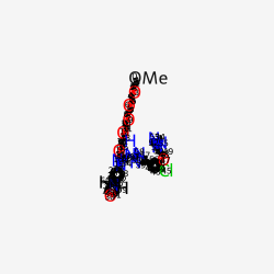 COCCOCCOCCOCCOCCCOc1nn(C2CCC(N3[C@@H]4CC[C@H]3COC4)CC2)cc1Nc1ncc(-c2ccc(Cl)c(O[C@@H](C)Cn3cncn3)c2)cn1